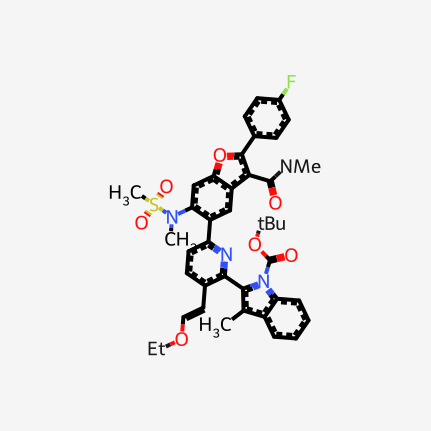 CCOC=Cc1ccc(-c2cc3c(C(=O)NC)c(-c4ccc(F)cc4)oc3cc2N(C)S(C)(=O)=O)nc1-c1c(C)c2ccccc2n1C(=O)OC(C)(C)C